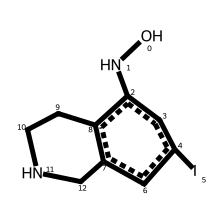 ONc1cc(I)cc2c1CCNC2